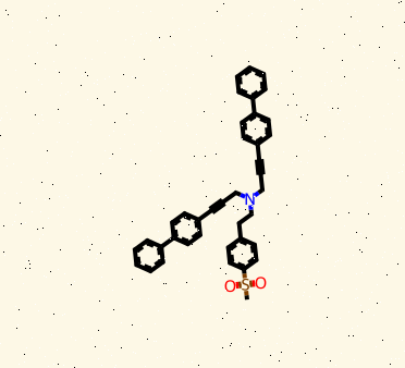 CS(=O)(=O)c1ccc(CCN(CC#Cc2ccc(-c3ccccc3)cc2)CC#Cc2ccc(-c3ccccc3)cc2)cc1